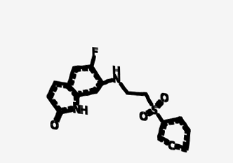 O=c1ccc2cc(F)c(NCCS(=O)(=O)c3ccccc3)cc2[nH]1